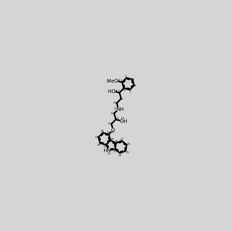 COc1ccccc1C(O)CCNCC(O)COc1cccc2[nH]c3ccccc3c12